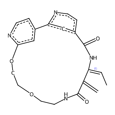 C=C1C(=O)NCCOCCOc2cc(ccn2)-c2cc(ccn2)C(=O)N/C1=C/C